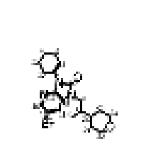 CC(Cn1c(=O)n(C2=CCCCC2)c2ncc(Br)cc21)C1CCOCC1